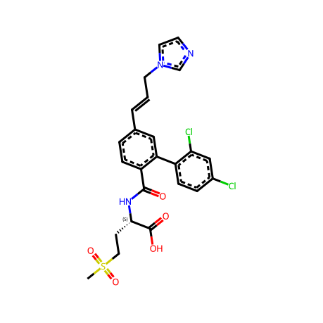 CS(=O)(=O)CC[C@H](NC(=O)c1ccc(C=CCn2ccnc2)cc1-c1ccc(Cl)cc1Cl)C(=O)O